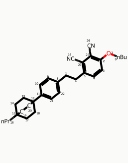 CCCCOc1ccc(CCc2ccc(C34CCC(CCC)(CC3)CC4)cc2)c(C#N)c1C#N